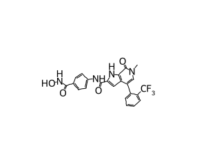 Cn1cc(-c2ccccc2C(F)(F)F)c2cc(C(=O)Nc3ccc(C(=O)NO)cc3)[nH]c2c1=O